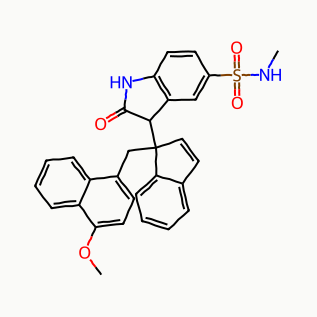 CNS(=O)(=O)c1ccc2c(c1)C(C1(Cc3ccc(OC)c4ccccc34)C=Cc3ccccc31)C(=O)N2